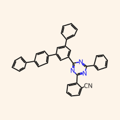 N#Cc1ccccc1-c1nc(-c2ccccc2)nc(-c2cc(-c3ccccc3)cc(-c3ccc(-c4ccccc4)cc3)c2)n1